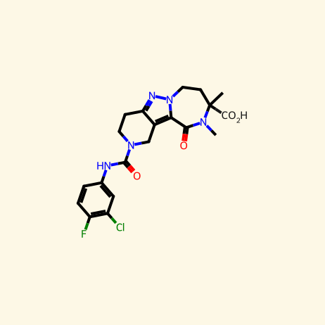 CN1C(=O)c2c3c(nn2CCC1(C)C(=O)O)CCN(C(=O)Nc1ccc(F)c(Cl)c1)C3